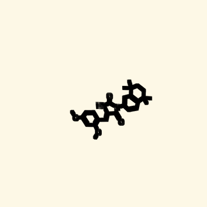 COc1ccc(C=C2NC(=O)N(c3ccc4c(c3)C(C)(C)CCC4(C)C)C2=O)c(OC)c1